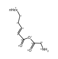 CCCCCCCCC=CC(=O)OC(=O)CN